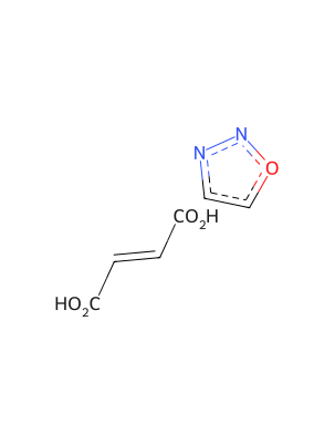 O=C(O)/C=C/C(=O)O.c1conn1